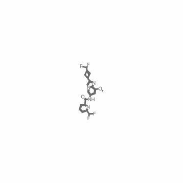 COc1cc(NC(=O)c2cccc(C(F)F)n2)cn2cc(C34CC(C(F)F)(C3)C4)nc12